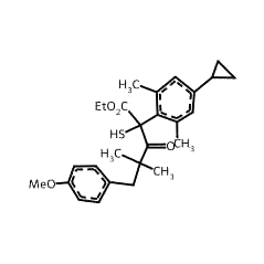 CCOC(=O)C(S)(C(=O)C(C)(C)Cc1ccc(OC)cc1)c1c(C)cc(C2CC2)cc1C